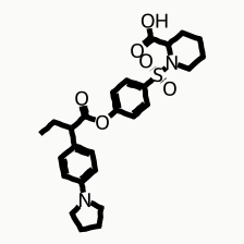 CCC(C(=O)Oc1ccc(S(=O)(=O)N2CCCCC2C(=O)O)cc1)c1ccc(N2CCCC2)cc1